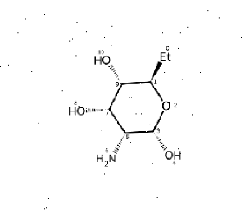 CC[C@H]1O[C@H](O)[C@H](N)[C@H](O)[C@@H]1O